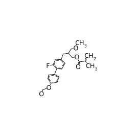 C=C(C)C(=O)OCC(COC)Cc1ccc(-c2ccc(OC=O)cc2)c(F)c1